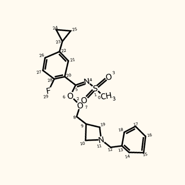 CS(=O)(=O)N=C(OOCC1CN(Cc2ccccc2)C1)c1cc(C2CC2)ccc1F